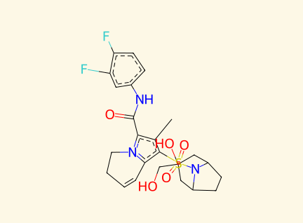 Cc1c(S(=O)(=O)N2C3CCC2CC(O)(CO)C3)c2n(c1C(=O)Nc1ccc(F)c(F)c1)CCC=C2